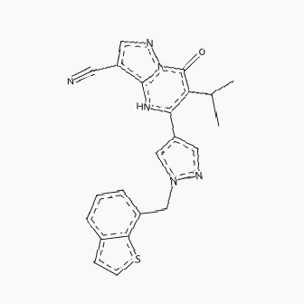 CC(C)c1c(-c2cnn(Cc3cccc4ccsc34)c2)[nH]c2c(C#N)cnn2c1=O